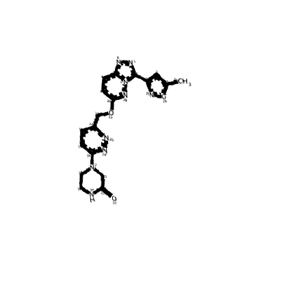 Cc1cc(-c2nnc3ccc(OCc4ccc(N5CCNC(=O)C5)nn4)nn23)no1